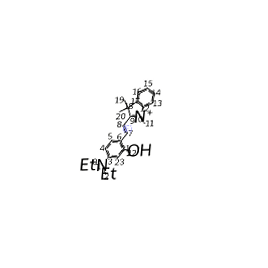 CCN(CC)c1ccc(/C=C/C2=[N+](C)c3ccccc3C2(C)C)c(O)c1